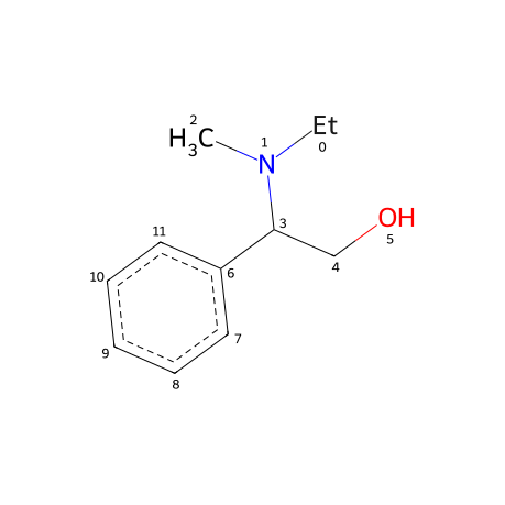 CCN(C)C(CO)c1ccccc1